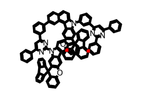 c1ccc(-c2cc(-c3cccc(-n4c5cc6c(cc5c5c7cc(-c8cccc(-c9cc(-c%10ccccc%10)nc(-n%10c%11cc%12c(cc%11c%11c%13ccccc%13ccc%11%10)Oc%10ccccc%10C%12%10c%11ccccc%11-c%11ccccc%11%10)n9)c8)ccc7ccc54)Oc4ccccc4C64c5ccccc5-c5ccccc54)c3)nc(-c3ccccc3)n2)cc1